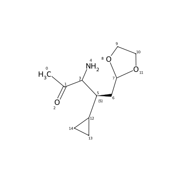 CC(=O)[C](N)[C@@H](CC1OCCO1)C1CC1